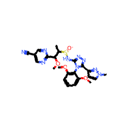 COc1cccc(OC)c1-n1c(N[S+]([O-])C(C)C(OC)c2ncc(C#N)cn2)nnc1-c1ccn(C)n1